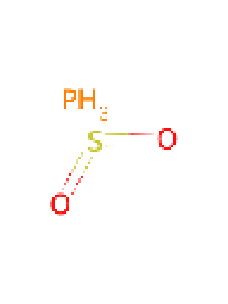 O=S=O.P